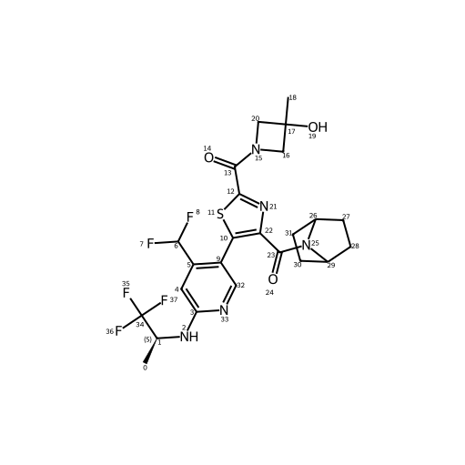 C[C@H](Nc1cc(C(F)F)c(-c2sc(C(=O)N3CC(C)(O)C3)nc2C(=O)N2C3CCC2CC3)cn1)C(F)(F)F